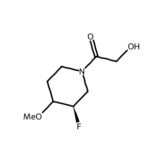 COC1CCN(C(=O)CO)C[C@H]1F